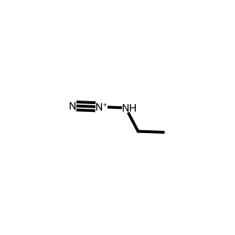 CCN[N+]#N